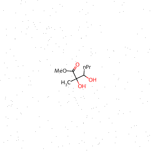 CCCC(O)C(C)(O)C(=O)OC